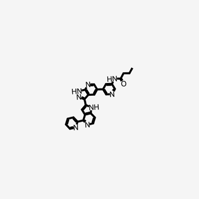 CCCC(=O)Nc1cncc(-c2cnc3[nH]nc(-c4cc5c(-c6ccccn6)nccc5[nH]4)c3c2)c1